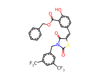 O=C(OCc1ccccc1)c1cc(C=C2SC(=O)N(Cc3cc(C(F)(F)F)cc(C(F)(F)F)c3)C2=O)ccc1O